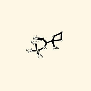 [CH]=CC(O[Si](C)(C)C)C1(CCCC)CCC1